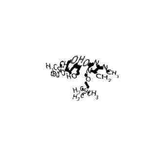 C=C1/C(=N\C)N=C(O[C@@H]2CO[C@@H]3C(O[Si](C)(C)C(C)(C)C)CO[C@@H]32)N1COCC[Si](C)(C)C